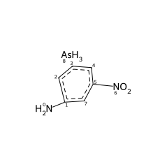 Nc1cccc([N+](=O)[O-])c1.[AsH3]